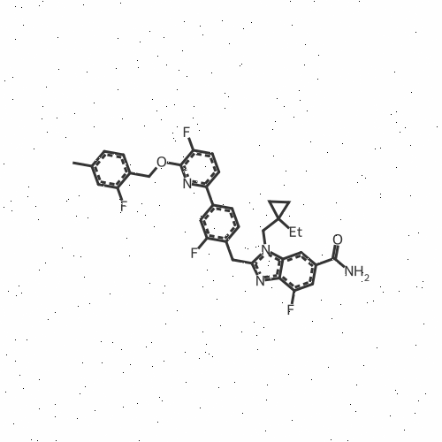 CCC1(Cn2c(Cc3ccc(-c4ccc(F)c(OCc5ccc(C)cc5F)n4)cc3F)nc3c(F)cc(C(N)=O)cc32)CC1